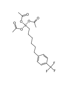 CC(=O)O[Si](CCCCCCc1ccc(C(F)(F)F)cc1)(OC(C)=O)OC(C)=O